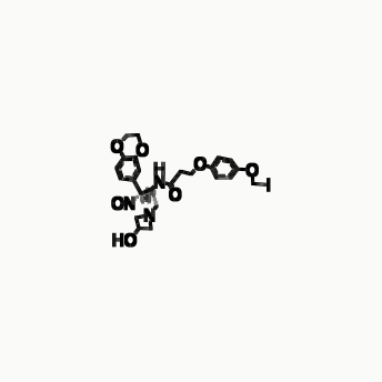 O=N[C@H](c1ccc2c(c1)OCCO2)[C@@H](CN1CC(O)C1)NC(=O)CCOc1ccc(OCI)cc1